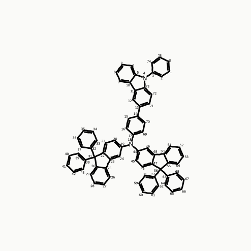 c1ccc(-n2c3ccccc3c3cc(-c4ccc(N(c5ccc6c(c5)-c5ccccc5C6(c5ccccc5)c5ccccc5)c5ccc6c(c5)-c5ccccc5C6(c5ccccc5)c5ccccc5)cc4)ccc32)cc1